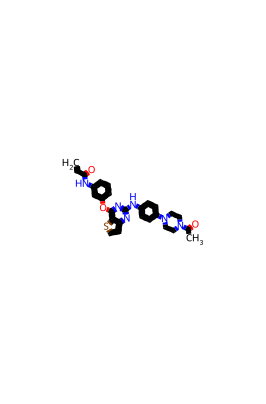 C=CC(=O)Nc1cccc(Oc2nc(Nc3ccc(N4CCN(C(C)=O)CC4)cc3)nc3ccsc23)c1